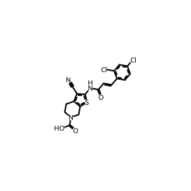 N#Cc1c(NC(=O)C=Cc2ccc(Cl)cc2Cl)sc2c1CCN(C(=O)O)C2